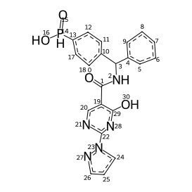 O=C(NC(c1ccccc1)c1ccc([PH](=O)O)cc1)c1cnc(-n2cccn2)nc1O